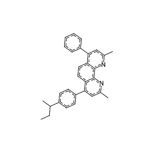 CCC(C)c1ccc(-c2cc(C)nc3c2ccc2c(-c4ccccc4)cc(C)nc23)cc1